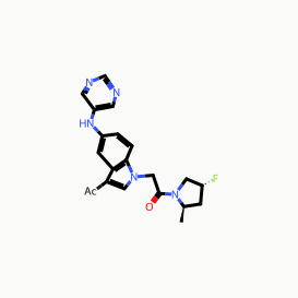 CC(=O)c1cn(CC(=O)N2C[C@H](F)C[C@H]2C)c2ccc(Nc3cncnc3)cc12